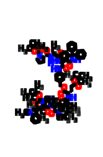 C/C(=C\[C@H](C(C)C)N(C)C(=O)[C@@H](NC(=O)[C@@H](N(C)C(=O)OC(C)(C)C)C(C)(C)c1cn(C)c2ccccc12)C(C)(C)C)C(=O)N[C@@H](CCC(=O)OC(C)(C)C)C(=O)OCc1ccc(NC(=O)C(CC(=O)NC(c2ccccc2)(c2ccccc2)c2ccccc2)NC(=O)[C@H](C)NC(=O)[C@@H]2CCCN2C(=O)OC(C)(C)C)cc1